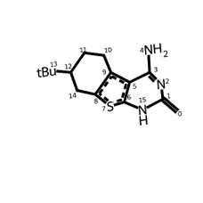 C=C1N=C(N)c2c(sc3c2CCC(C(C)(C)C)C3)N1